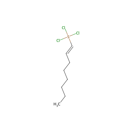 CCCCCC/C=C/S(Cl)(Cl)Cl